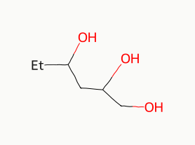 [CH2]CC(O)CC(O)CO